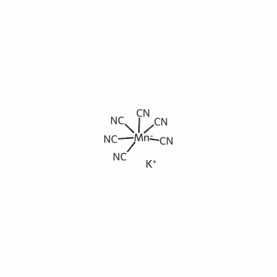 N#[C][Mn-]([C]#N)([C]#N)([C]#N)([C]#N)[C]#N.[K+]